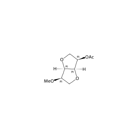 CO[C@@H]1CO[C@H]2[C@@H]1OC[C@H]2OC(C)=O